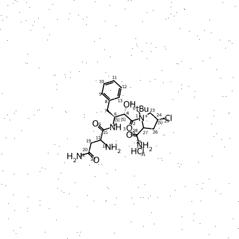 CC(C)(C)[N+]1(C(=O)[C@@H](O)[C@H](Cc2ccccc2)NC(=O)C(N)CC(N)=O)C[C@@H](Cl)CC1C(N)=O.Cl